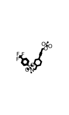 CN(CC1CCC(C#CCOS(C)(=O)=O)CC1)S(=O)(=O)c1ccc(C(F)(F)F)cc1